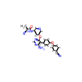 C=C(C#N)C(=O)Nc1cncc(Oc2ncnc(N)c2-c2ccc(Oc3ccc(C#N)cc3)cc2)c1